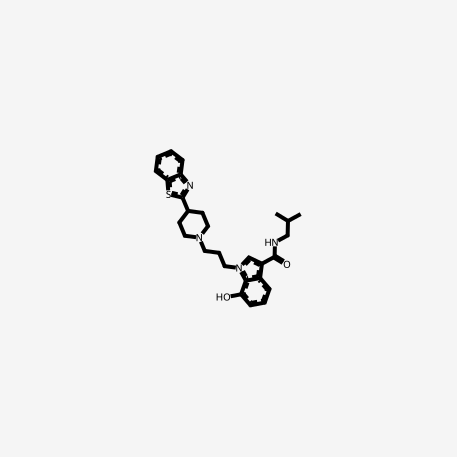 CC(C)CNC(=O)c1cn(CCCN2CCC(c3nc4ccccc4s3)CC2)c2c(O)cccc12